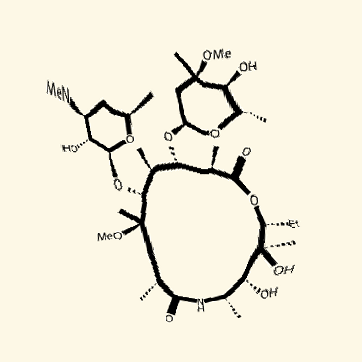 CC[C@H]1OC(=O)[C@H](C)[C@@H](O[C@H]2C[C@@](C)(OC)[C@@H](O)[C@H](C)O2)[C@H](C)[C@@H](O[C@@H]2O[C@H](C)C[C@H](NC)[C@H]2O)[C@](C)(OC)C[C@@H](C)C(=O)N[C@@H](C)[C@@H](O)[C@]1(C)O